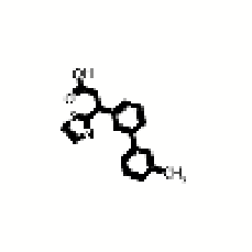 Cc1cccc(-c2cccc(C(CC(=O)O)c3nccs3)c2)c1